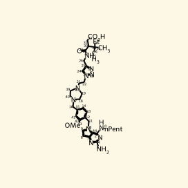 CCCCCNc1nc(N)nc2ccn(Cc3ccc(CN4CCN(CCn5cc(CNC(=O)C(CC(=O)O)C(C)(C)CC)nn5)CC4)cc3OC)c12